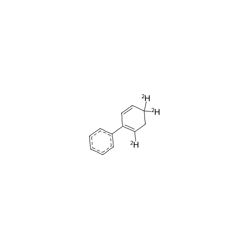 [2H]C1=C(c2ccccc2)C=CC([2H])([2H])C1